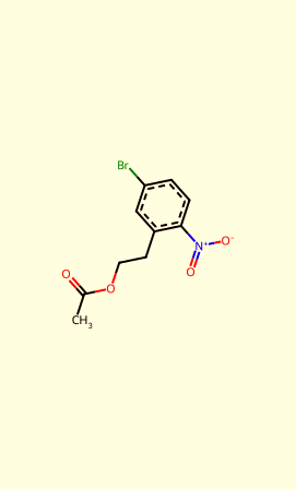 CC(=O)OCCc1cc(Br)ccc1[N+](=O)[O-]